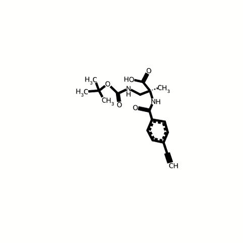 C#Cc1ccc(C(=O)N[C@@](C)(CNC(=O)OC(C)(C)C)C(=O)O)cc1